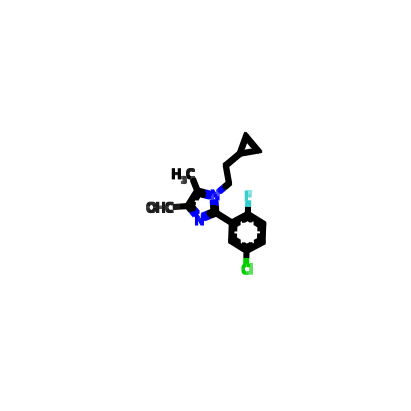 Cc1c(C=O)nc(-c2cc(Cl)ccc2F)n1CCC1CC1